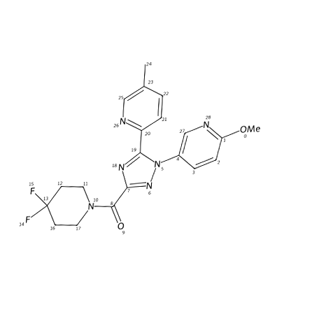 COc1ccc(-n2nc(C(=O)N3CCC(F)(F)CC3)nc2-c2ccc(C)cn2)cn1